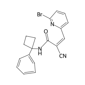 N#CC(=Cc1cccc(Br)n1)C(=O)NC1(c2ccccc2)CCC1